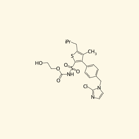 Cc1c(CC(C)C)sc(S(=O)(=O)NC(=O)OCCO)c1-c1ccc(Cn2ccnc2Cl)cc1